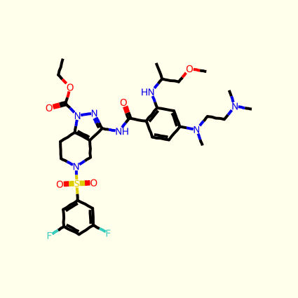 CCOC(=O)n1nc(NC(=O)c2ccc(N(C)CCN(C)C)cc2NC(C)COC)c2c1CCN(S(=O)(=O)c1cc(F)cc(F)c1)C2